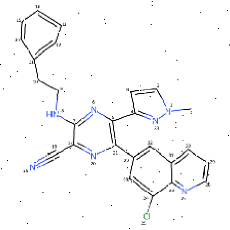 Cn1ccc(-c2nc(NCCc3ccccc3)c(C#N)nc2-c2cc(Cl)c3ncccc3c2)n1